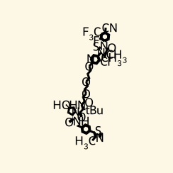 Cc1ncsc1-c1ccc(CNC(=O)[C@@H]2C[C@@H](O)CN2C(=O)[C@@H](NC(=O)COCCOCCCOc2cc(Cl)c(N3C(=S)N(c4ccc(C#N)c(C(F)(F)F)c4F)C(=O)C3(C)C)cn2)C(C)(C)C)cc1